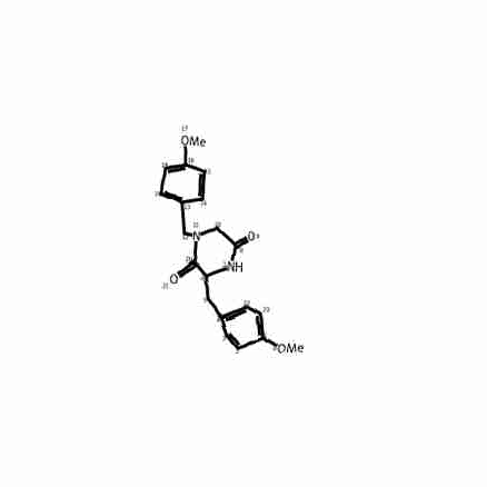 COc1ccc(CC2NC(=O)CN(Cc3ccc(OC)cc3)C2=O)cc1